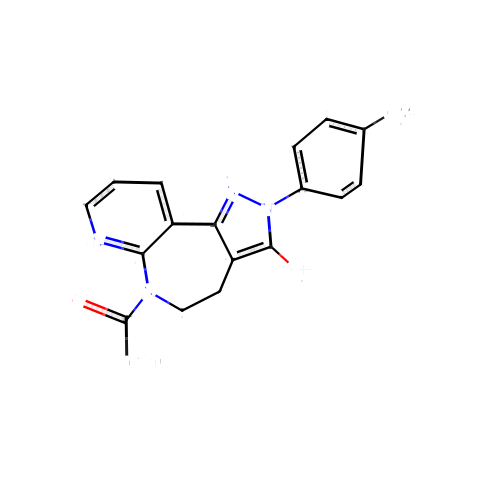 CCCCCC(=O)N1CCc2c(nn(-c3ccc(OC)cc3)c2O)-c2cccnc21